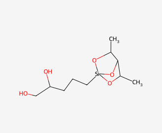 CC1O[Si]2(CCCC(O)CO)OC(C)C1O2